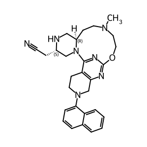 CN1CCOc2nc3c(c(n2)N2C[C@H](CC#N)NC[C@H]2CC1)CCN(c1cccc2ccccc12)C3